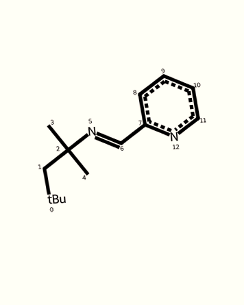 CC(C)(C)CC(C)(C)N=Cc1ccccn1